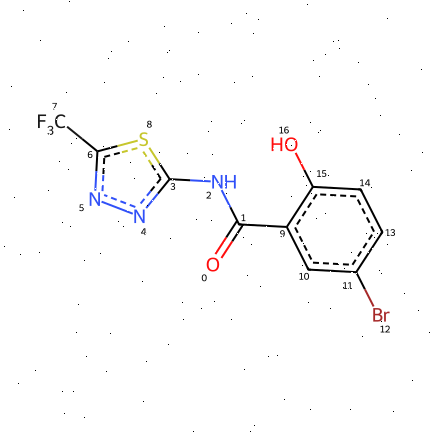 O=C(Nc1nnc(C(F)(F)F)s1)c1cc(Br)ccc1O